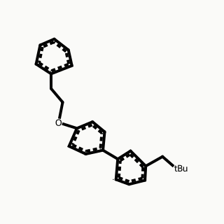 CC(C)(C)Cc1cc[c]c(-c2ccc(OCCc3ccccc3)cc2)c1